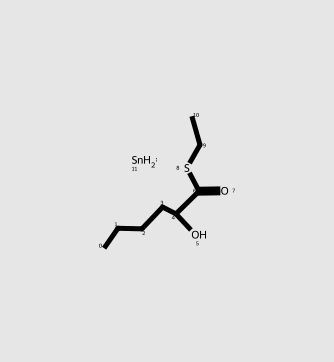 CCCCC(O)C(=O)SCC.[SnH2]